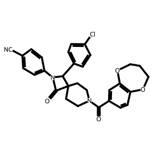 N#Cc1ccc(N2C(=O)C3(CCN(C(=O)c4ccc5c(c4)OCCCO5)CC3)C2c2ccc(Cl)cc2)cc1